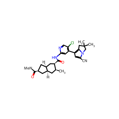 CNC(=O)[C@@H]1C[C@@H]2C[C@H](C)[C@H](C(=O)Nc3cc(-c4cc(C#N)n5c4CC(C)(C)C5)c(Cl)cn3)C[C@@H]2C1